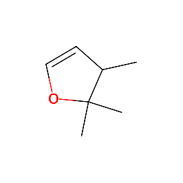 CC1C=COC1(C)C